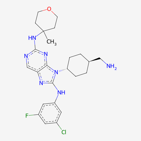 CC1(Nc2ncc3nc(Nc4cc(F)cc(Cl)c4)n([C@H]4CC[C@H](CN)CC4)c3n2)CCOCC1